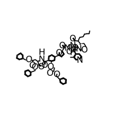 CCCCCC(C(=O)NCNC(=O)c1ccc(-c2ccc(C(=O)NC(CC(=O)OCc3ccccc3)C(=O)OCc3ccccc3)c(OCC(=O)OCc3ccccc3)c2)o1)[C@@H](CC)N(C=O)OC(=O)c1ccncc1C